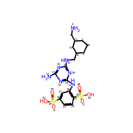 NCC1CCCC(CNc2nc(N)nc(Nc3cc(S(=O)(=O)O)ccc3S(=O)(=O)O)n2)C1